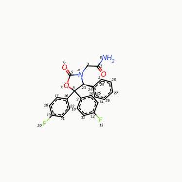 NC(=O)CN1C(=O)OC(c2ccc(F)cc2)(c2ccc(F)cc2)[C@@H]1c1ccccc1